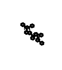 c1ccc(-c2cccc(-n3c4ccccc4c4ccc5c(c6ccccc6n5-c5ccc6c(-c7nc(-c8ccccc8)cc(-c8ccccc8)n7)cccc6c5)c43)c2)cc1